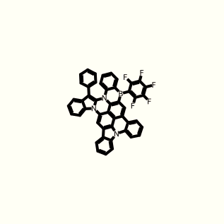 Fc1c(F)c(F)c(B2c3ccccc3-n3c4c2cc2c5ccccc5n5c6ccccc6c6cc(c4c2c65)n2c4ccccc4c(-c4ccccc4)c32)c(F)c1F